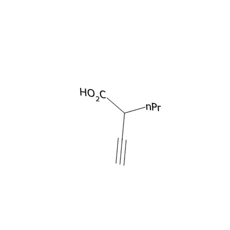 C#CC(CCC)C(=O)O